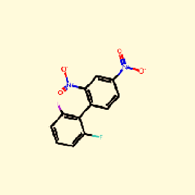 O=[N+]([O-])c1ccc(-c2c(I)[c]ccc2F)c([N+](=O)[O-])c1